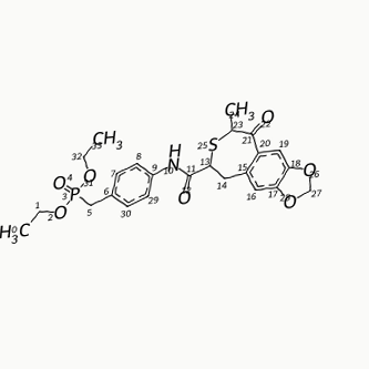 CCOP(=O)(Cc1ccc(NC(=O)C2Cc3cc4c(cc3C(=O)C(C)S2)OCO4)cc1)OCC